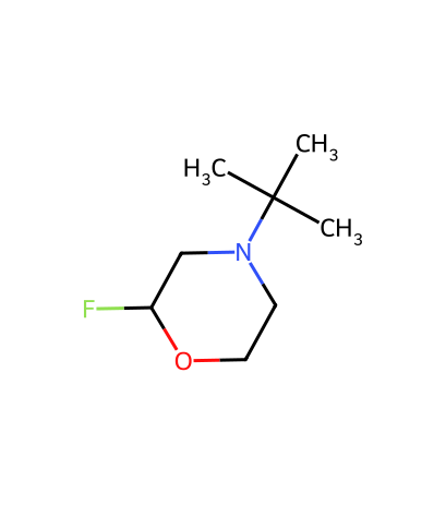 CC(C)(C)N1CCOC(F)C1